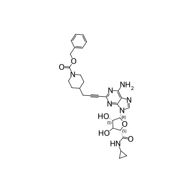 Nc1nc(C#CCC2CCN(C(=O)OCc3ccccc3)CC2)nc2c1ncn2[C@@H]1O[C@H](C(=O)NC2CC2)C(O)[C@@H]1O